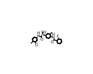 Cc1ccc(NC(=O)N(S)c2ccc(NC(=O)c3ccccc3F)c(C)c2)cc1Cl